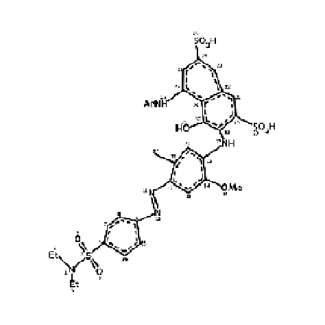 CCN(CC)S(=O)(=O)c1ccc(/N=N/c2cc(OC)c(Nc3c(S(=O)(=O)O)cc4cc(S(=O)(=O)O)cc(NC(C)=O)c4c3O)cc2C)cc1